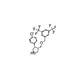 FC(F)(F)c1cc(COC[C@H]2CNC[C@H]2c2ccc(Cl)cc2)cc(C(F)(F)F)c1